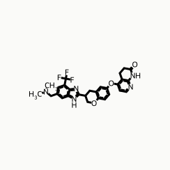 CN(C)Cc1cc(C(F)(F)F)c2nc(C3COc4ccc(Oc5ccnc6c5CCC(=O)N6)cc4C3)[nH]c2c1